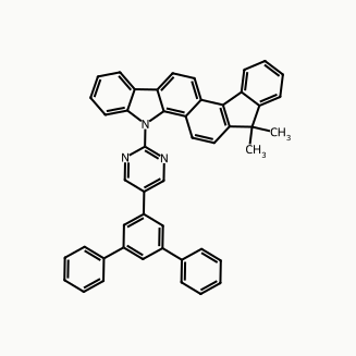 CC1(C)c2ccccc2-c2c1ccc1c2ccc2c3ccccc3n(-c3ncc(-c4cc(-c5ccccc5)cc(-c5ccccc5)c4)cn3)c12